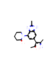 Cc1nc2c(N3CCCCC3=O)cc(-c3c(C)noc3C)cc2[nH]1